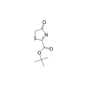 CC(C)(C)OC(=O)C1=NC(=O)CS1